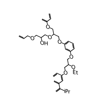 C=CCOCC(O)COC(COC(=C)C=C)COc1cccc(OCC(CO/C(C=C)=C/C(=C)C(=C)C(C)C)OCC)c1